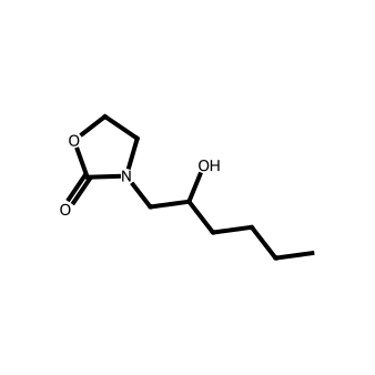 CCCCC(O)CN1CCOC1=O